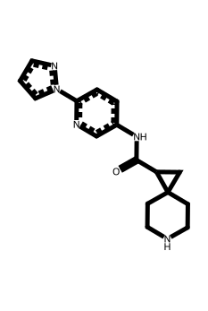 O=C(Nc1ccc(-n2cccn2)nc1)C1CC12CCNCC2